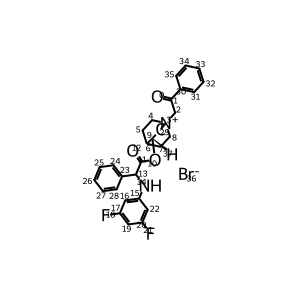 O=C(C[N+]12CCC(CC1)[C@@H](OC(=O)C(Nc1cc(F)cc(F)c1)c1ccccc1)C2)c1ccccc1.[Br-]